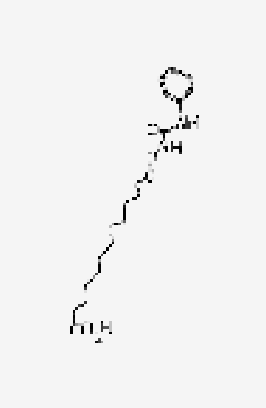 O=C(O)CCCCCCCCCCCOONC(=O)Nc1ccccc1